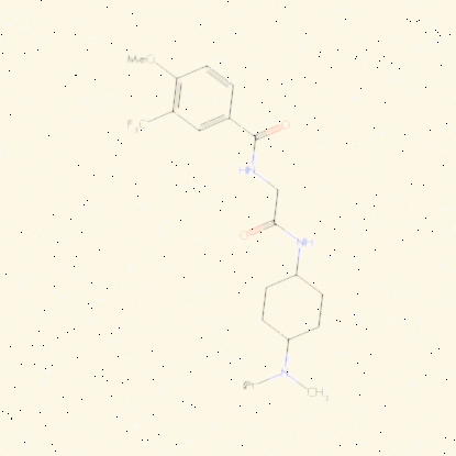 COc1ccc(C(=O)NCC(=O)NC2CCC(N(C)C(C)C)CC2)cc1C(F)(F)F